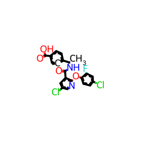 C[C@H](NC(=O)c1cc(Cl)cnc1Oc1ccc(Cl)cc1F)c1ccc(C(=O)O)cc1